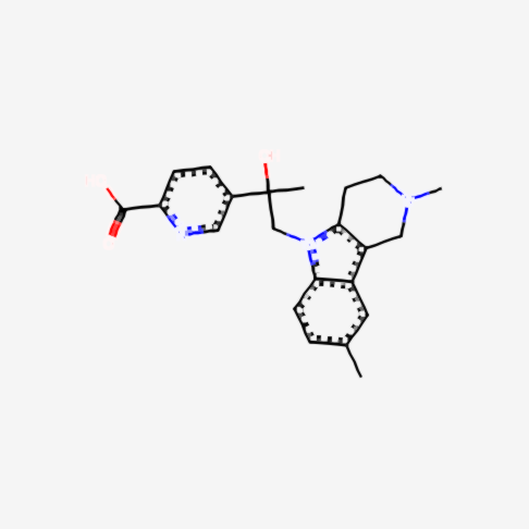 Cc1ccc2c(c1)c1c(n2CC(C)(O)c2ccc(C(=O)O)nc2)CCN(C)C1